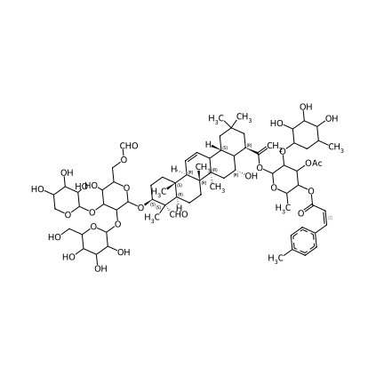 C=C(OC1OC(C)C(OC(=O)/C=C\c2ccc(C)cc2)C(OC(C)=O)C1OC1CC(C)C(O)C(O)C1O)[C@@H]1CC(C)(C)C[C@@H]2C1[C@H](O)C[C@]1(C)C2C=C[C@@H]2[C@@]3(C)CC[C@H](OC4OC(COC=O)C(O)C(OC5OCC(O)C(O)C5O)C4OC4OC(CO)C(O)C(O)C4O)[C@@](C)(C=O)[C@@H]3CC[C@]21C